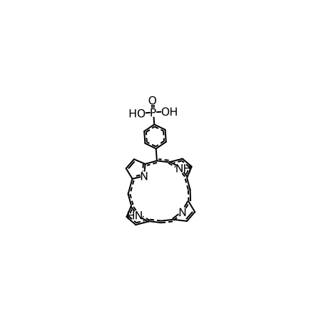 O=P(O)(O)c1ccc(-c2c3nc(cc4ccc(cc5nc(cc6ccc2[nH]6)C=C5)[nH]4)C=C3)cc1